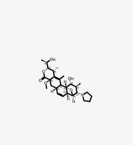 CO[C@]12C[C@H]3C=C[C@H]4[C@H]5O[C@]3(C(C)=C1[C@@H](C)[C@@H]([C@@H](C)O)OC2=O)[C@@H]4[C@H](O)[C@@H](C)[C@@H]5N1CCCC1